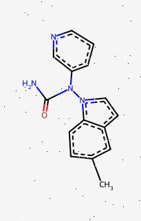 Cc1ccc2c(ccn2N(C(N)=O)c2cccnc2)c1